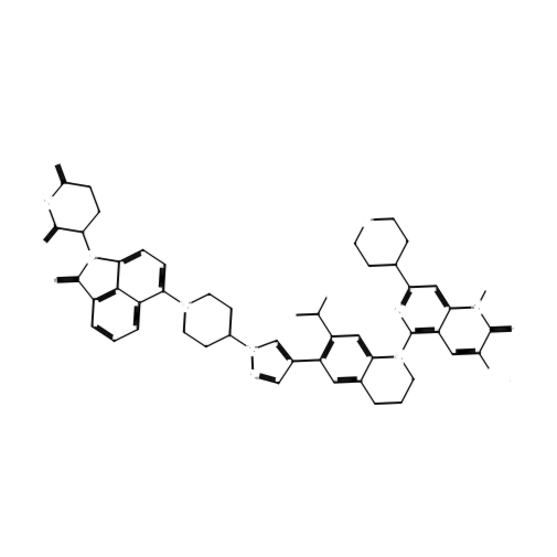 Cc1cc2c(N3CCCc4cc(-c5cnn(C6CCN(c7ccc8c9c(cccc79)C(=O)N8C7CCC(=O)NC7=O)CC6)c5)c(C(F)F)cc43)nc(C3CCOCC3)cc2n(C)c1=O